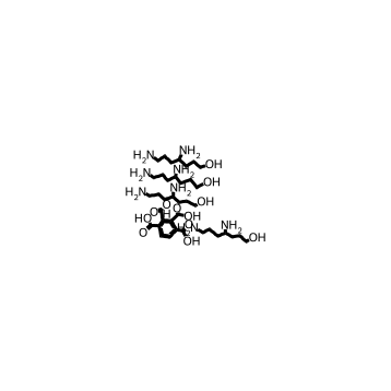 NCCCC(N)CCCO.NCCCC(N)CCCO.NCCCC(N)CCCO.NCCCC(N)CCCO.O=C(O)c1ccc(C(=O)O)c(C(=O)O)c1C(=O)O